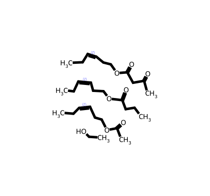 CC/C=C\CCOC(=O)CC(C)=O.CC/C=C\CCOC(=O)CCC.CC/C=C\CCOC(C)=O.CCO